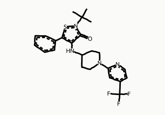 CC(C)(C)n1sc(-c2ccccc2)c(NC2CCN(c3cc(C(F)(F)F)ccn3)CC2)c1=O